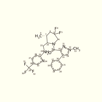 C[C@@H]1CC(F)(F)CN(C(=O)c2nn(C)cc2-c2ccccc2)C1CNc1ccc(C(F)(F)F)cn1